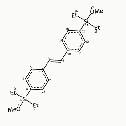 CC[Si](CC)(OC)c1ccc(C=Cc2ccc([Si](CC)(CC)OC)cc2)cc1